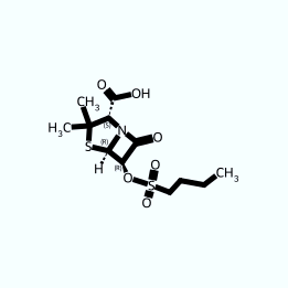 CCCCS(=O)(=O)O[C@@H]1C(=O)N2[C@@H]1SC(C)(C)[C@@H]2C(=O)O